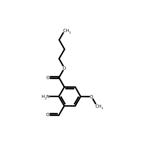 CCCCOC(=O)c1cc(OC)cc(C=O)c1N